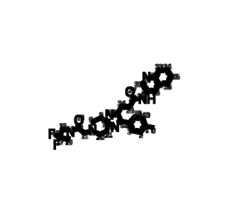 Cc1ccc(C2=NC3(CCN(CC(=O)N4CC(F)(F)C4)CC3)N=C2C=CC(=O)Nc2cnc3ccccc3c2)cc1